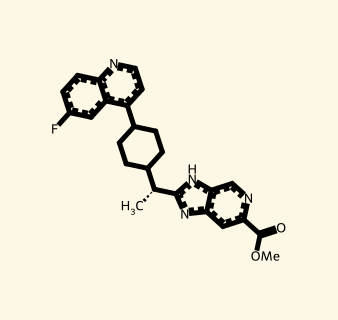 COC(=O)c1cc2nc([C@H](C)C3CCC(c4ccnc5ccc(F)cc45)CC3)[nH]c2cn1